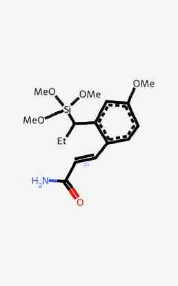 CCC(c1cc(OC)ccc1/C=C/C(N)=O)[Si](OC)(OC)OC